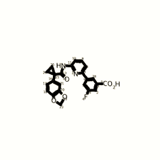 O=C(O)c1cc(F)cc(-c2cccc(NC(=O)C3(c4ccc5c(c4)OCO5)CC3)n2)c1